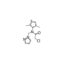 Cc1csc(C)c1N(Cn1cccn1)C(=O)CCl